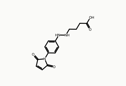 O=C(O)CCCNNc1ccc(N2C(=O)C=CC2=O)cc1